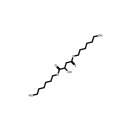 O=C(OCCCCCCO)C(O)CC(=S)OCCCCCCO